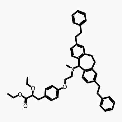 CCOC(=O)C(Cc1ccc(OCCN(C)C2c3ccc(CCc4ccccc4)cc3CCc3cc(CCc4ccccc4)ccc32)cc1)OCC